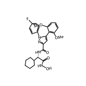 COc1cccc(OC)c1-c1cc(C(=O)N[C@H](C(=O)NO)C2CCCCC2)nn1-c1ccc(F)cc1